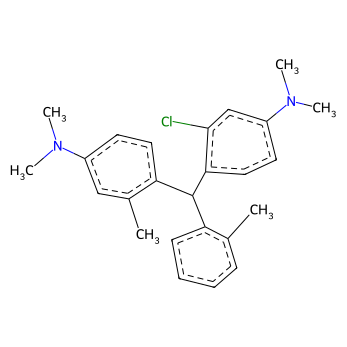 Cc1ccccc1C(c1ccc(N(C)C)cc1C)c1ccc(N(C)C)cc1Cl